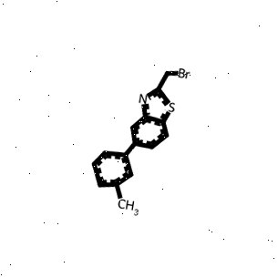 Cc1cccc(-c2ccc3sc(CBr)nc3c2)c1